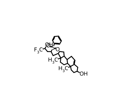 CC12CCC(O)CC1=CCC1C2CCC2(C)C(CC(CC(O)C(F)(F)F)S(=O)(=O)c3ccccc3)CCC12